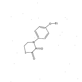 [CH2]COc1ccc(N2CCSC(=O)C2=O)cc1